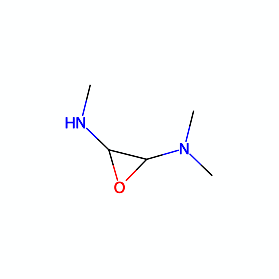 CNC1OC1N(C)C